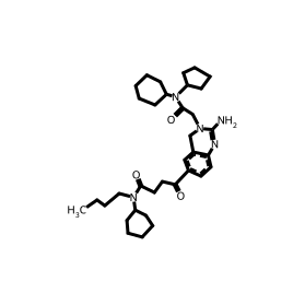 CCCCN(C(=O)CCC(=O)c1ccc2c(c1)CN(CC(=O)N(C1CCCCC1)C1CCCC1)C(N)=N2)C1CCCCC1